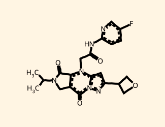 CC(C)N1Cc2c(n(CC(=O)Nc3ccc(F)cn3)c3cc(C4COC4)nn3c2=O)C1=O